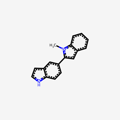 Cn1c(-c2ccc3[nH]ccc3c2)cc2ccccc21